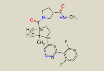 CNC(=O)C1CCN(C(=O)[C@@]2(C)CC[C@H](c3cnnc(-c4c(F)cccc4F)c3)C2(C)C)C1